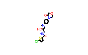 CN(C[C@@H](O)CNC(=O)c1ccc(Cl)s1)c1ccc(N2CCOCC2=O)cc1